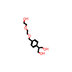 OCCOCCOCc1ccc(C(CO)CO)cc1